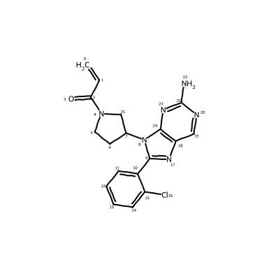 C=CC(=O)N1CCC(n2c(-c3ccccc3Cl)nc3cnc(N)nc32)C1